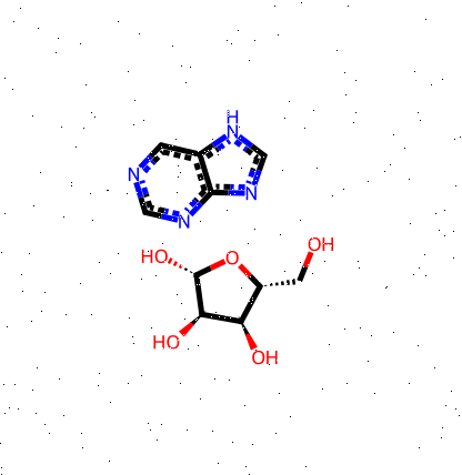 OC[C@H]1O[C@@H](O)[C@H](O)[C@@H]1O.c1ncc2[nH]cnc2n1